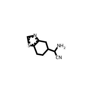 N#CC(N)C1CCc2scnc2C1